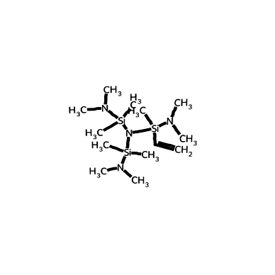 C=C[Si](C)(N(C)C)N([Si](C)(C)N(C)C)[Si](C)(C)N(C)C